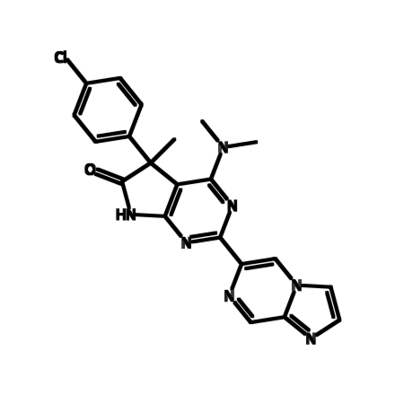 CN(C)c1nc(-c2cn3ccnc3cn2)nc2c1C(C)(c1ccc(Cl)cc1)C(=O)N2